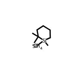 CC1(C)CCCC[Si]1(C)Cl.[SiH4]